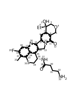 CC[C@@]1(O)COCc2c1cc1n(c2=O)Cc2c-1nc1cc(F)c(C)c3c1c2[C@H](NC(=O)CCCN)CS3